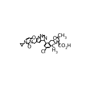 Cc1cc(Cl)cc(-c2ncnn3cc(Cn4c(=O)ccn(C5CC5)c4=O)cc23)c1CC1CN(C(=O)O)C[C@H](C)O1